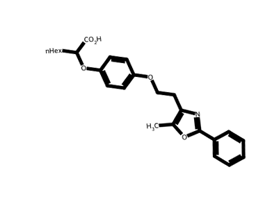 CCCCCCC(Oc1ccc(OCCc2nc(-c3ccccc3)oc2C)cc1)C(=O)O